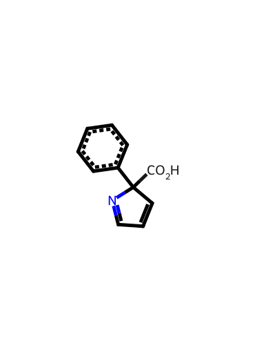 O=C(O)C1(c2ccccc2)C=CC=N1